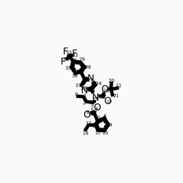 CCCC(OC(=O)c1ccccc1CC)N(C(=O)OC(C)(C)C)c1cnc(-c2ccc(C(F)(F)F)cc2)cn1